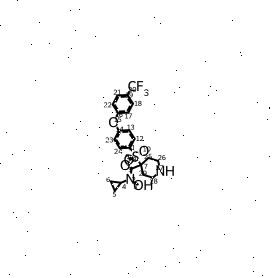 O=C(N(O)C1CC1)C1(S(=O)(=O)c2ccc(Oc3ccc(C(F)(F)F)cc3)cc2)CCNCC1